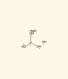 OP(O)O.[HH].[NaH]